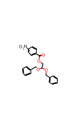 O=C(OCC(OCc1ccccc1)OCc1ccccc1)c1ccc([N+](=O)[O-])cc1